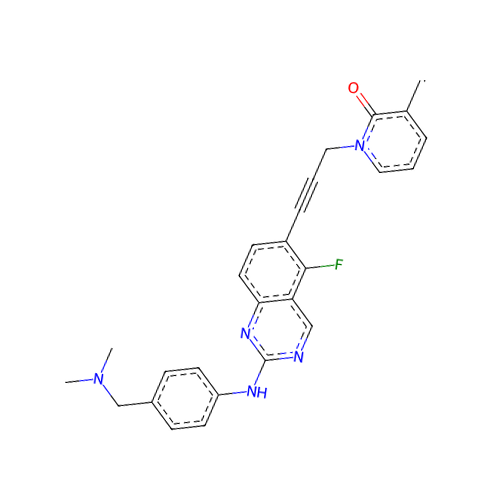 [CH2]c1cccn(CC#Cc2ccc3nc(Nc4ccc(CN(C)C)cc4)ncc3c2F)c1=O